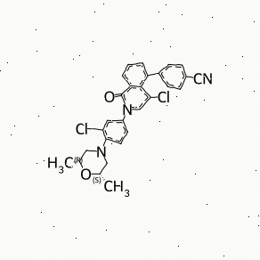 C[C@@H]1CN(c2ccc(-n3cc(Cl)c4c(-c5ccc(C#N)cc5)cccc4c3=O)cc2Cl)C[C@H](C)O1